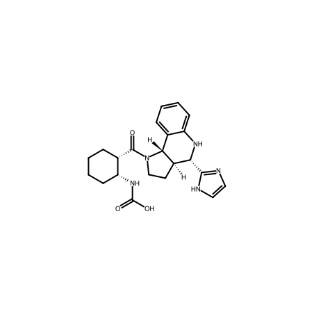 O=C(O)N[C@@H]1CCCC[C@@H]1C(=O)N1CC[C@@H]2[C@@H](c3ncc[nH]3)Nc3ccccc3[C@H]21